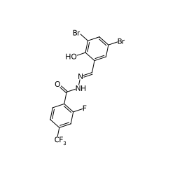 O=C(N/N=C/c1cc(Br)cc(Br)c1O)c1ccc(C(F)(F)F)cc1F